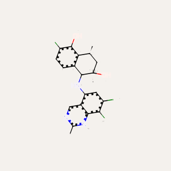 Cc1ncc2c(NC3c4ccc(F)c(O)c4[C@@H](C)C[C@]3(O)C(F)(F)F)cc(F)c(F)c2n1